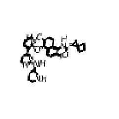 Cc1ccc2c(NC(=O)[C@@H]3CC34CCC4)c(F)ccc2c1Oc1ncccc1-c1ccnc(NC2CCCNC2)n1